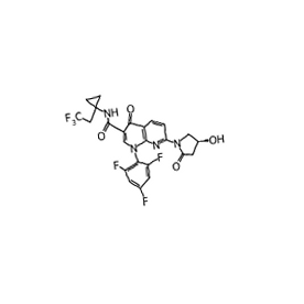 O=C(NC1(CC(F)(F)F)CC1)c1cn(-c2c(F)cc(F)cc2F)c2nc(N3C[C@@H](O)CC3=O)ccc2c1=O